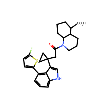 O=C(O)C1CCCC2C1CCCN2C(=O)CC1(c2c[nH]c3cccc(-c4ccc(F)s4)c23)CC1